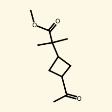 COC(=O)C(C)(C)C1CC(C(C)=O)C1